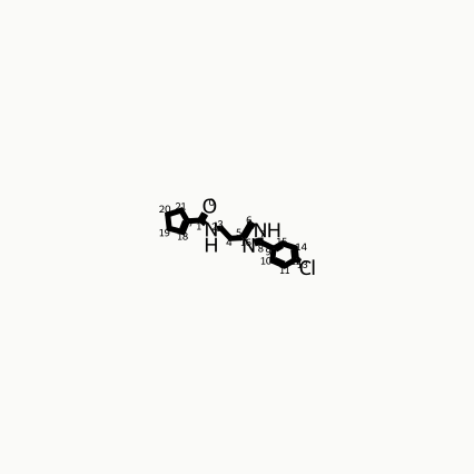 O=C(NCCc1c[nH]c(-c2ccc(Cl)cc2)n1)C1=CCCC1